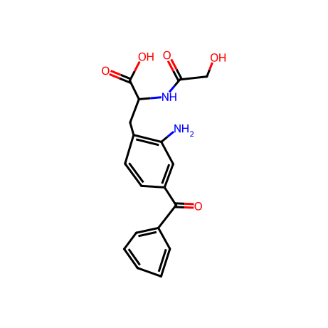 Nc1cc(C(=O)c2ccccc2)ccc1CC(NC(=O)CO)C(=O)O